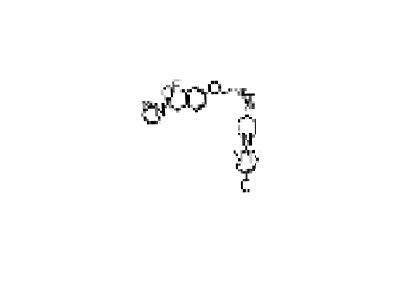 C[C@H]1CCCN1C(=O)Cc1ccc(OCC[C@@H]2C[C@@H]2C2CCN(c3ncc(Cl)cn3)CC2)cc1F